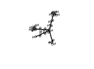 COC[C@@H]1C[C@@H](O)CN1C(=O)CCCCCCCCCCC(=O)NC(COCCC(=O)NCCCNC(=O)CCCCO)(COCCC(=O)NCCCNC(=O)CCCCOC1OC(CO)C(O)C(O)C1NC(C)=O)COCCC(=O)NCCCNC(=O)CCCCOC1OC(CO)C(O)C(O)C1NC(C)=O